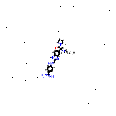 C[C@H]1CCCN1C(=O)C(C)(NCC(=O)O)c1ccc2c(c1)nc(CNc1ccc(C(=N)N)cc1)n2C